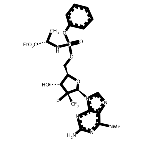 CCOC(=O)[C@H](C)NP(=O)(OC[C@H]1O[C@@H](n2cnc3c(NC)nc(N)nc32)[C@@](F)(C(F)(F)F)[C@@H]1O)Oc1ccccc1